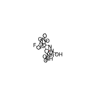 CONC(=O)Nc1ccc(-c2sc3c(c2CN(C)Cc2cccc(CO)n2)c(=O)n(-c2ccccc2)c(=O)n3Cc2c(F)cccc2F)cc1